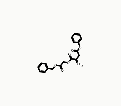 C=C(CC(=O)Oc1ccccc1)C(=O)OCC(=O)OCc1ccccc1